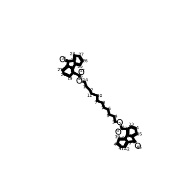 O=C(OCCCCCCCCCCCCOC(=O)c1cccc2c1-c1ccccc1C2=O)c1cccc2c1-c1ccccc1C2=O